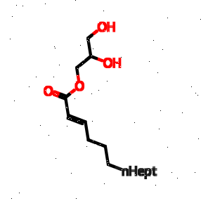 CCCCCCCCCCC=CC(=O)OCC(O)CO